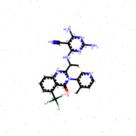 Cc1ccncc1-n1c(C(C)Nc2nc(N)nc(N)c2C#N)nc2cccc(C(F)(F)F)c2c1=O